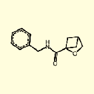 O=C(NCc1ccccc1)C12CC(CO1)C2